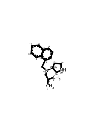 CC(C)CN(Cc1cccc2ccccc12)[C@H]1CCNC1